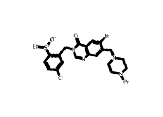 CC[S+]([O-])c1ccc(Cl)cc1Cn1cnc2cc(CN3CCN(C(C)C)CC3)c(Br)cc2c1=O